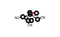 N#Cc1cccc([Si](c2ccccc2)(c2ccccc2)c2ccccc2-c2cccc(-n3c4ccc(C#N)cc4c4cc(C#N)ccc43)c2)c1